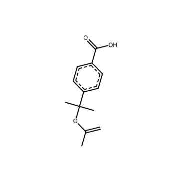 C=C(C)OC(C)(C)c1ccc(C(=O)O)cc1